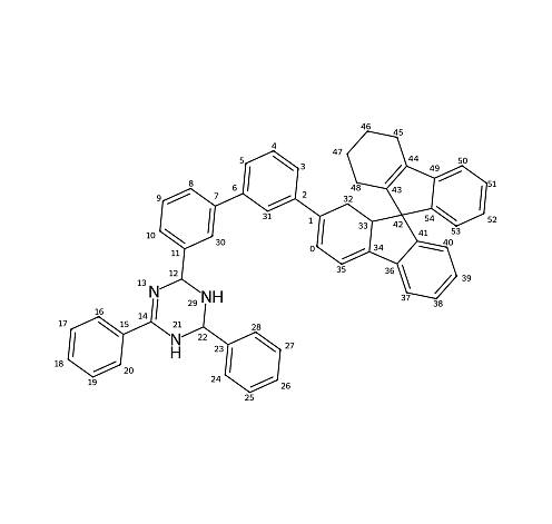 C1=C(c2cccc(-c3cccc(C4N=C(c5ccccc5)NC(c5ccccc5)N4)c3)c2)CC2C(=C1)c1ccccc1C21C2=C(CCCC2)c2ccccc21